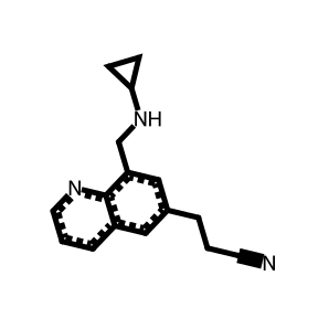 N#CCCc1cc(CNC2CC2)c2ncccc2c1